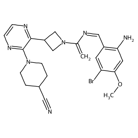 C=C(/N=C\c1cc(Br)c(OC)cc1N)N1CC(c2nccnc2N2CCC(C#N)CC2)C1